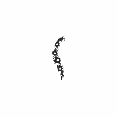 FC=CCC1CCC(OC=C2CCC(OC3CCC(=COC4CCC(CC=CF)CC4)CC3)CC2)CC1